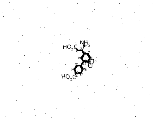 Cl.NC[C@H](CC(=O)O)c1ccc(Cl)c(-c2ccc(C(=O)O)cc2)c1